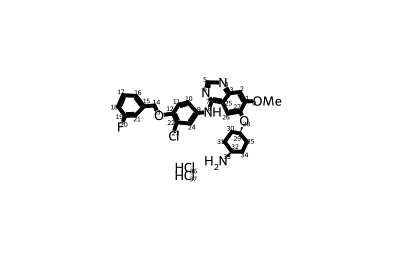 COc1cc2ncnc(Nc3ccc(OCc4cccc(F)c4)c(Cl)c3)c2cc1O[C@H]1CC[C@H](N)CC1.Cl.Cl